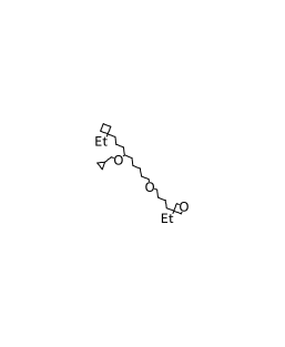 CCC1(CCCC(CCCCCOCCCCC2(CC)COC2)OCC2CC2)CCC1